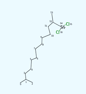 CC(C)CCCCCCCCC[CH](C)[Sn]([Cl])[Cl]